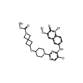 CCOc1cc2cc(Nc3nc(N4CCC(OC5CC6(C5)CN(C(=O)OC(C)(C)C)C6)CC4)ncc3Cl)ccc2n(CC)c1=O